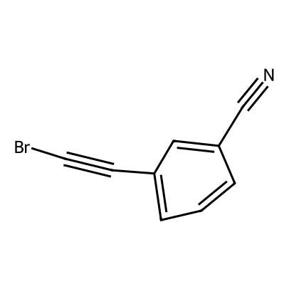 N#Cc1cccc(C#CBr)c1